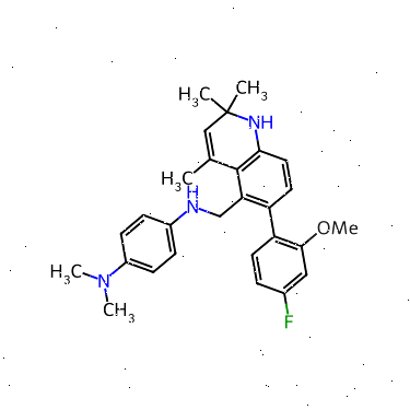 COc1cc(F)ccc1-c1ccc2c(c1CNc1ccc(N(C)C)cc1)C(C)=CC(C)(C)N2